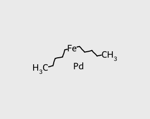 CCCC[CH2][Fe][CH2]CCCC.[Pd]